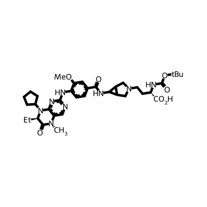 CC[C@@H]1C(=O)N(C)c2cnc(Nc3ccc(C(=O)NC4C5CN(CC[C@H](NC(=O)OC(C)(C)C)C(=O)O)CC54)cc3OC)nc2N1C1CCCC1